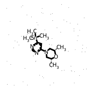 C[C@@H]1CN(c2c[c]([Sn]([CH3])([CH3])[CH3])ncn2)C[C@H](C)O1